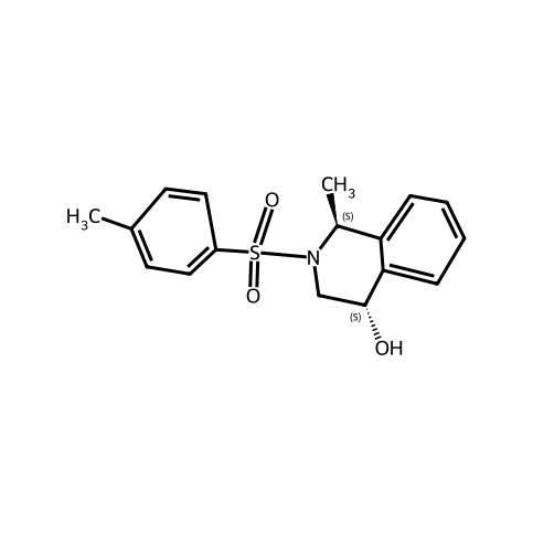 Cc1ccc(S(=O)(=O)N2C[C@@H](O)c3ccccc3[C@@H]2C)cc1